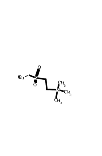 CC[C@@H](C)CS(=O)(=O)CC[Si](C)(C)C